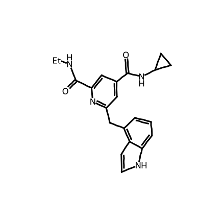 CCNC(=O)c1cc(C(=O)NC2CC2)cc(Cc2cccc3[nH]ccc23)n1